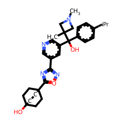 CC(C)c1ccc(C(O)(c2cncc(-c3noc(C45CCC(O)(CC4)CC5)n3)c2)C2(C)CN(C)C2)cc1